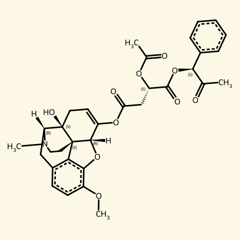 COc1ccc2c3c1O[C@H]1C(OC(=O)C[C@H](OC(C)=O)C(=O)O[C@H](C(C)=O)c4ccccc4)=CC[C@@]4(O)[C@@H](C2)N(C)CC[C@]314